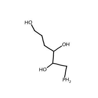 OCCCC(O)C(O)CP